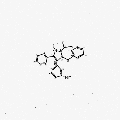 CC(C)C1N(C)C(c2ccccc2)=C(c2ccccc2)N1Cc1ccccc1.I